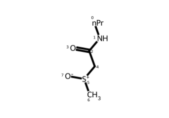 CCCNC(=O)C[S+](C)[O-]